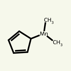 [CH3][Mn]([CH3])[CH]1C=CC=C1